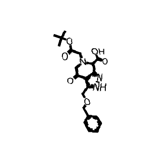 CC(C)(C)OC(=O)CN1CC(=O)c2c(n[nH]c2COCc2ccccc2)C1C(=O)O